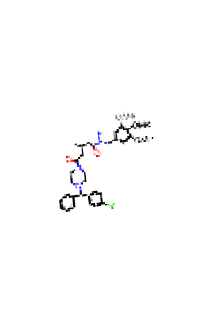 COc1cc(CNC(=O)CC(C)CC(=O)N2CCN(C(c3ccccc3)c3ccc(Cl)cc3)CC2)cc(OC)c1OC